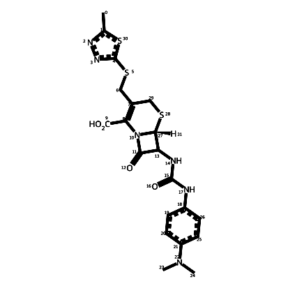 Cc1nnc(SCC2=C(C(=O)O)N3C(=O)C(NC(=O)Nc4ccc(N(C)C)cc4)[C@H]3SC2)s1